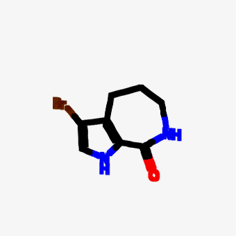 O=C1NCCCc2c(Br)c[nH]c21